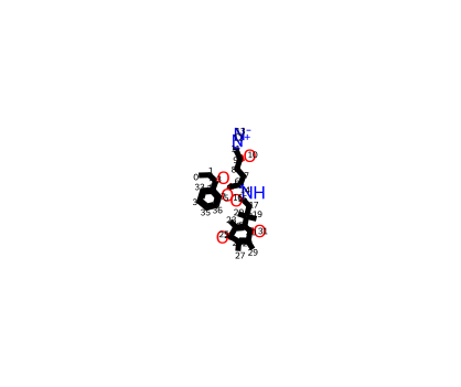 CCC(OC(=O)C(CCC(=O)C=[N+]=[N-])NC(=O)CC(C)(C)C1=C(C)C(=O)C(C)=C(C)C1=O)c1ccccc1